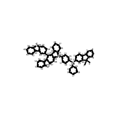 CC1(C)c2ccccc2-c2ccc(N(c3ccccc3)c3ccc(-n4c5ccccc5c5c(-c6ccc7sc8ccccc8c7c6)c6c(cc54)oc4ccccc46)cc3)cc21